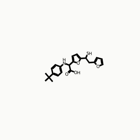 CC(C)(C)c1ccc(NC(C(=O)O)c2ccc(C(S)Cc3ccco3)o2)cc1